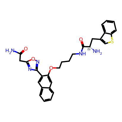 NC(=O)Cc1nc(-c2cc3ccccc3cc2OCCCCNC(=O)[C@@H](N)Cc2csc3ccccc23)no1